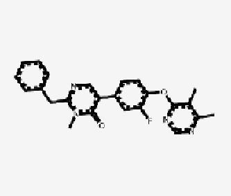 Cc1ncnc(Oc2ccc(-c3cnc(Cc4ccccc4)n(C)c3=O)cc2F)c1C